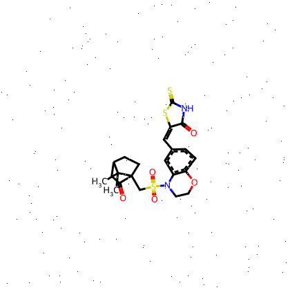 CC1(C)C2CCC1(CS(=O)(=O)N1CCOc3ccc(C=C4SC(=S)NC4=O)cc31)C(=O)C2